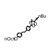 CCCCC#CC(=O)C(C)OC(=O)c1ccc(CCc2ccc(OCCCCCCCC)cc2)cc1